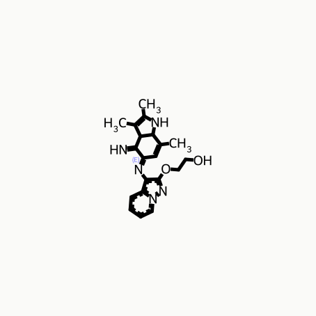 CC1=C/C(=N\c2c(OCCO)nn3ccccc23)C(=N)C2C(C)=C(C)NC12